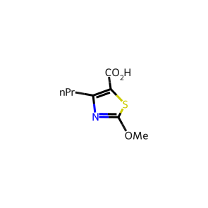 CCCc1nc(OC)sc1C(=O)O